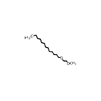 CCCCCCCCCCCCCOCCOC